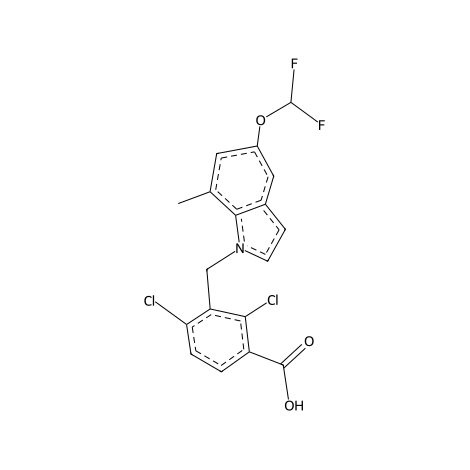 Cc1cc(OC(F)F)cc2ccn(Cc3c(Cl)ccc(C(=O)O)c3Cl)c12